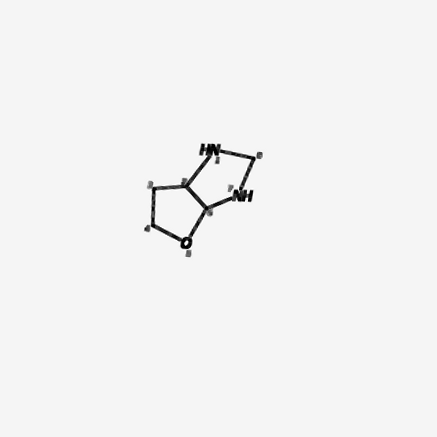 C1NC2CCOC2N1